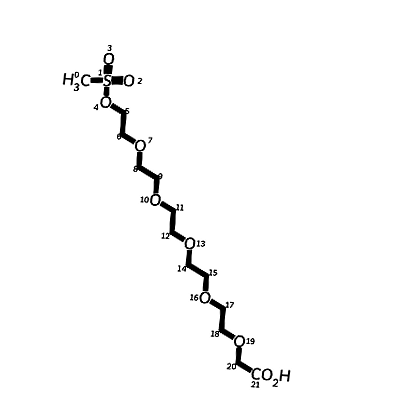 CS(=O)(=O)OCCOCCOCCOCCOCCOCC(=O)O